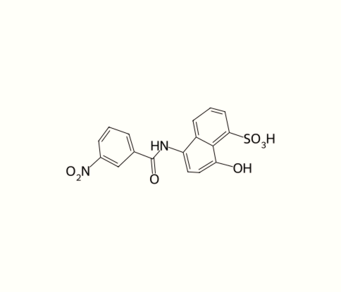 O=C(Nc1ccc(O)c2c(S(=O)(=O)O)cccc12)c1cccc([N+](=O)[O-])c1